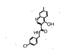 Cc1ccc2c(O)c(C(=O)NCc3ccc(Cl)cc3)cnc2c1